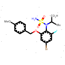 COc1ccc(COc2cc(Br)cc(F)c2N(C(C(=O)O)C(C)(C)C)S(N)(=O)=O)cc1